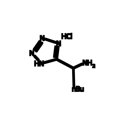 CCCCC(N)c1nnn[nH]1.Cl